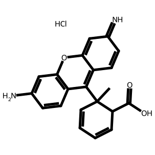 CC1(c2c3ccc(=N)cc-3oc3cc(N)ccc23)C=CC=CC1C(=O)O.Cl